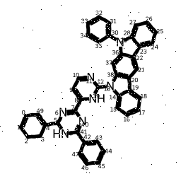 C1=CCCC(C2N=C(C3=CC=NC(n4c5ccccc5c5cc6c7ccccc7n(-c7ccccc7)c6cc54)N3)N=C(c3ccccc3)N2)=C1